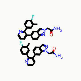 Cc1cc(-c2ncccc2-c2ccc3cnn(CC(N)=O)c3c2)ccc1F.Cc1cc(-c2ncccc2-c2ccc3nn(CC(N)=O)cc3c2)ccc1F